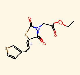 CCOC(=O)CN1C(=O)S/C(=C\c2ccsc2)C1=O